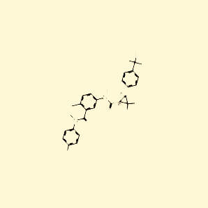 CN(C(=O)c1cc(NC(=O)[C@H]2[C@H](c3ccc(C(F)(F)F)cc3)C2(Cl)Cl)ccc1Cl)c1ccc(F)cc1